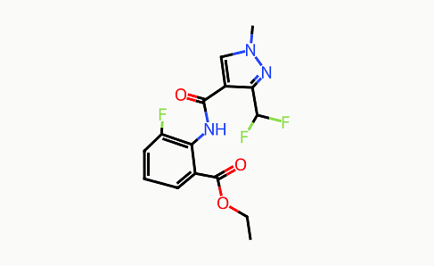 CCOC(=O)c1cccc(F)c1NC(=O)c1cn(C)nc1C(F)F